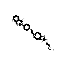 Cc1ncccc1C(=O)N[C@H]1CC[C@H](CCN2CCc3nc(OCCC(F)(F)F)sc3CC2)CC1